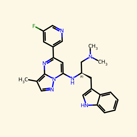 Cc1cnn2c(N[C@H](Cc3c[nH]c4ccccc34)CN(C)C)cc(-c3cncc(F)c3)nc12